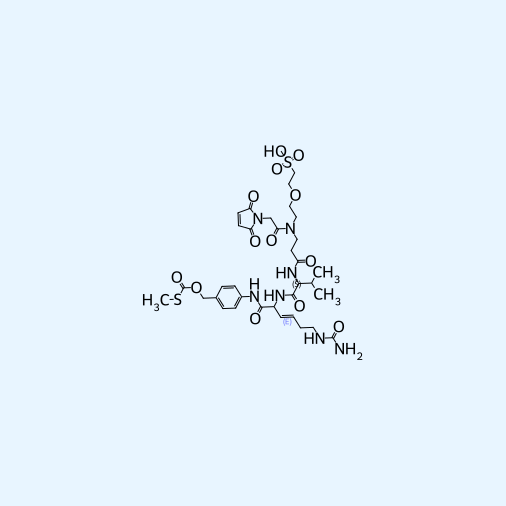 CSC(=O)OCc1ccc(NC(=O)C(/C=C/CCNC(N)=O)NC(=O)[C@@H](NC(=O)CCN(CCOCCS(=O)(=O)O)C(=O)CN2C(=O)C=CC2=O)C(C)C)cc1